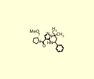 COC[C@H]1CCCN1C(=O)c1cnn2c1NC(c1ccccc1)CC2(C)C